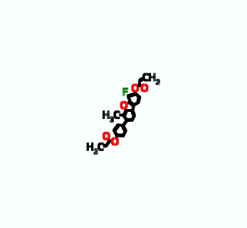 C=CC(=O)Oc1ccc(-c2ccc3c(oc4c(F)c(OC(=O)C=C)ccc43)c2C)cc1